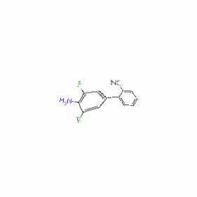 N#Cc1ccccc1-c1cc(F)c(N)c(F)c1